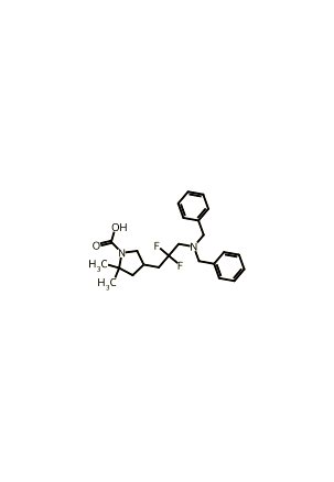 CC1(C)CC(CC(F)(F)CN(Cc2ccccc2)Cc2ccccc2)CN1C(=O)O